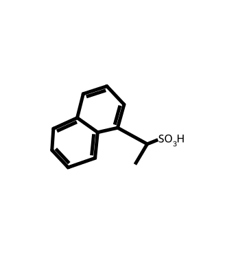 CC(c1cccc2ccccc12)S(=O)(=O)O